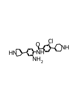 Nc1cc(C2=CCNCC2)ccc1NC(=O)c1ccc(C2=CCNCC2)c(Cl)c1